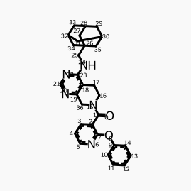 O=C(c1cccnc1Oc1ccccc1)N1CCc2c(ncnc2NCC23CC4CC(CC(C4)C2)C3)C1